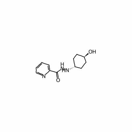 O=C(NN[C@H]1CC[C@H](O)CC1)c1ccccn1